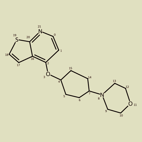 c1cc(OC2CCC(N3CCOCC3)CC2)c2ccsc2n1